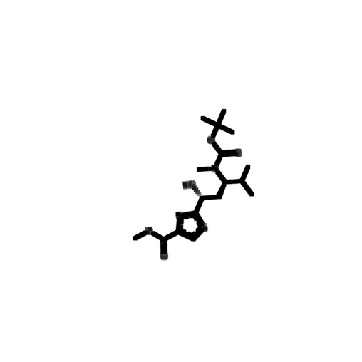 COC(=O)c1csc([C@H](O)C[C@H](C(C)C)N(C)C(=O)OC(C)(C)C)n1